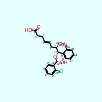 C[C@H](CC=CCCC(=O)O)[C@H](O[C@H](O)c1ccccc1Cl)c1ccccc1O